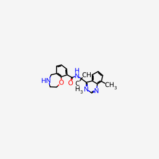 Cc1cccc2c(C(C)(C)NC(=O)c3cccc4c3OCCNC4)ncnc12